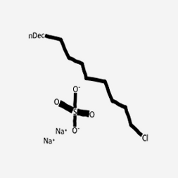 CCCCCCCCCCCCCCCCCCCl.O=S(=O)([O-])[O-].[Na+].[Na+]